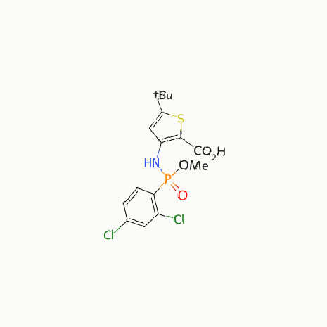 COP(=O)(Nc1cc(C(C)(C)C)sc1C(=O)O)c1ccc(Cl)cc1Cl